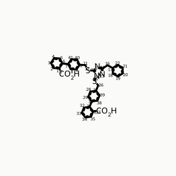 O=C(O)c1ccccc1-c1ccc(CSc2nc(Cc3ccccc3)nn2SCc2ccc(-c3ccccc3C(=O)O)cc2)cc1